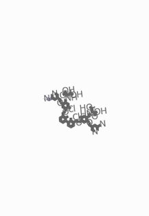 C/N=C/c1cncc(COc2cc(OCc3cccc(-c4cccc(COc5cc(OCc6cncc(C#N)c6)c(CN[C@@H](C(=O)O)[C@H](C)O)cc5Cl)c4C)c3C)c(Cl)cc2CN[C@@H](C(=O)O)[C@@H](C)O)c1